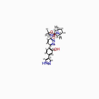 CN(c1ccc(-c2ccc(-c3cn[nH]c3)cc2O)nn1)C1C[C@H]2CC[C@@H](C1)N2C(=O)OC(C)(C)C